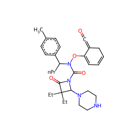 CCCC(c1ccc(C)cc1)N(OC1=CC=CCC1=C=O)C(=O)N1C(=O)C(CC)(CC)C1N1CCNCC1